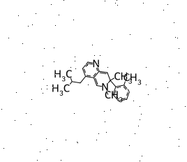 Cc1ccccc1C1(C)C=c2nccc(CC(C)C)c2=CN1C